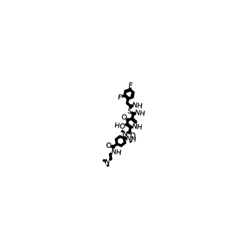 CNC1(N(C)C(=O)c2[nH]cc(C(=N)SC(=N)Cc3ccc(F)cc3F)c(=O)c2O)CCC(C(=O)NCCN(C)C)CC1